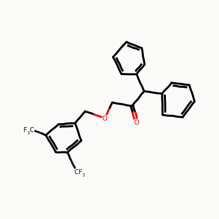 O=C(COCc1cc(C(F)(F)F)cc(C(F)(F)F)c1)C(c1ccccc1)c1ccccc1